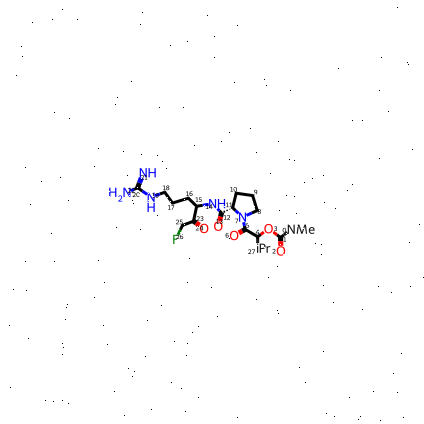 CNC(=O)OC(C(=O)N1CCC[C@H]1C(=O)NC(CCCNC(=N)N)C(=O)CF)C(C)C